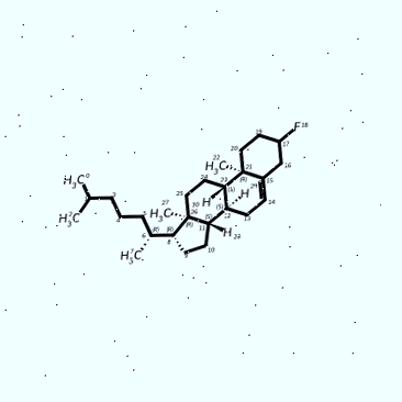 CC(C)CCC[C@@H](C)[C@H]1CC[C@H]2[C@@H]3CC=C4CC(F)CC[C@]4(C)[C@H]3CC[C@]12C